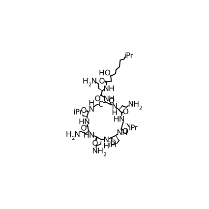 CC(C)CCCCC[C@@H](O)CC(=O)N[C@H](CCN)C(=O)N[C@H]1CCNC(=O)[C@H](CC(C)C)NC(=O)[C@H](CCN)NC(=O)[C@H](CCN)NC(=O)[C@H](CC(C)C)NC(=O)[C@@H](CC(C)C)NC(=O)[C@H](CCN)NC1=O